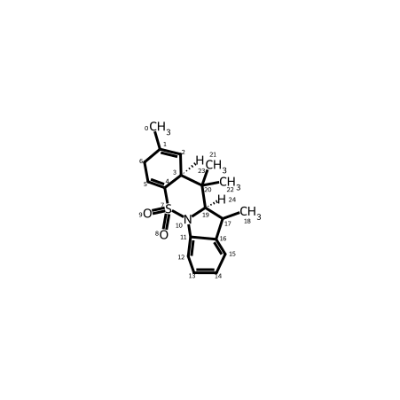 CC1=C[C@@H]2C(=CC1)S(=O)(=O)N1c3ccccc3C(C)[C@@H]1C2(C)C